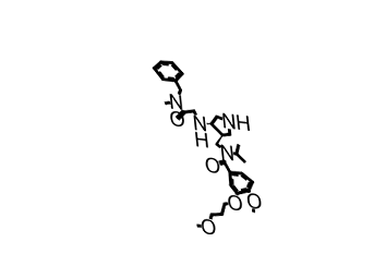 COCCCOc1cc(C(=O)N(C[C@@H]2CNC[C@H]2NCC(=O)N(C)Cc2ccccc2)C(C)C)ccc1OC